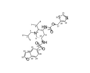 CC(C)CN(CC(C)C)C[C@H](CCNC(=O)OCc1cncs1)NS(=O)(=O)c1ccc2occc2c1